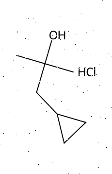 CC(C)(O)CC1CC1.Cl